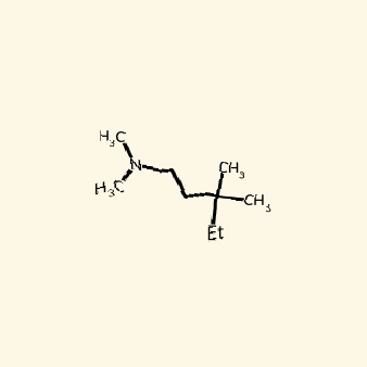 CCC(C)(C)CCN(C)C